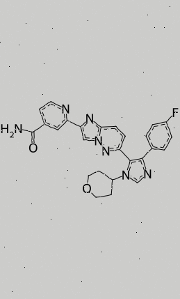 NC(=O)c1ccnc(-c2cn3nc(-c4c(-c5ccc(F)cc5)ncn4C4CCOCC4)ccc3n2)c1